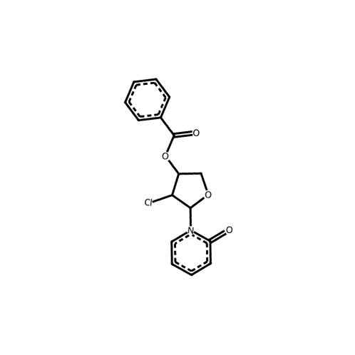 O=C(OC1COC(n2ccccc2=O)C1Cl)c1ccccc1